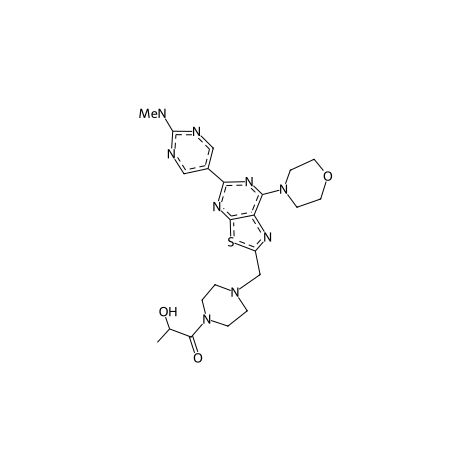 CNc1ncc(-c2nc(N3CCOCC3)c3nc(CN4CCN(C(=O)C(C)O)CC4)sc3n2)cn1